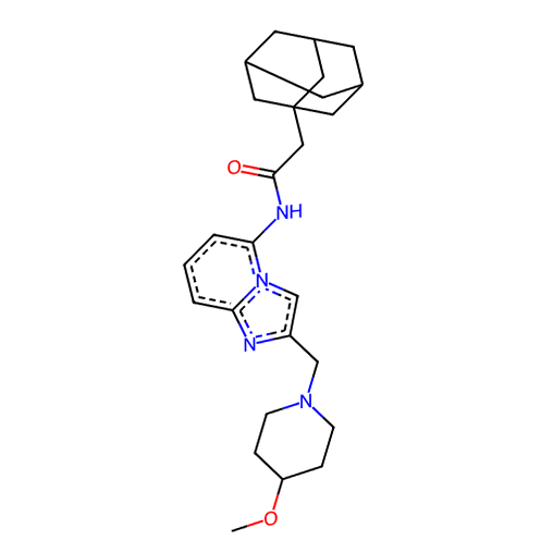 COC1CCN(Cc2cn3c(NC(=O)CC45CC6CC(CC(C6)C4)C5)cccc3n2)CC1